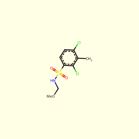 COCNS(=O)(=O)c1ccc(Cl)c(C)c1Cl